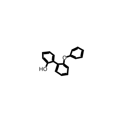 Oc1ccccc1-c1ccccc1Oc1ccccc1